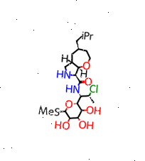 CSC1O[C@H]([C@H](NC(=O)[C@H]2NC[C@@H]3C[C@@H](CC(C)C)CCO[C@H]32)[C@H](C)Cl)C(O)[C@@H](O)[C@H]1O